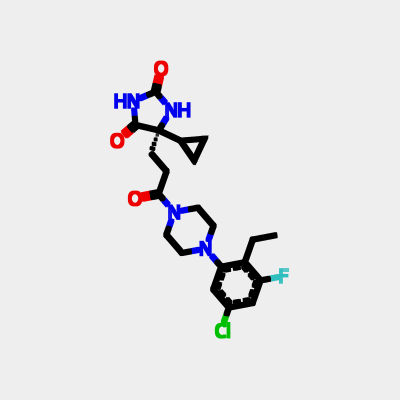 CCc1c(F)cc(Cl)cc1N1CCN(C(=O)CC[C@@]2(C3CC3)NC(=O)NC2=O)CC1